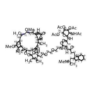 CNN(C)Cc1cc2ccccc2n1CCC(=O)N[C@@H](CC(=O)N[C@@H]1O[C@H](COC(C)=O)[C@@H](OC(C)=O)[C@H](OC(C)=O)[C@H]1NC(C)=O)C(=O)NCCOCCOCCC(=O)N(C)[C@@H](C)C(=O)O[C@H]1CC(=O)N(C)c2cc(cc(OC)c2Cl)C/C(C)=C/C=C/[C@@H](OC)[C@@]2(O)C[C@H](OC(=O)N2)[C@@H](C)C2O[C@]21C